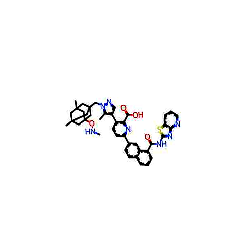 CNOC12CC3(C)CC(C)(CC(Cn4ncc(-c5ccc(-c6ccc7cccc(C(=O)Nc8nc9ncccc9s8)c7c6)nc5C(=O)O)c4C)(C3)C1)C2